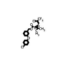 CC1(C)[C@H](C=C(Cl)C(F)(F)F)[C@@H]1C(=O)OCc1cccc(Oc2ccc(Cl)cc2)c1